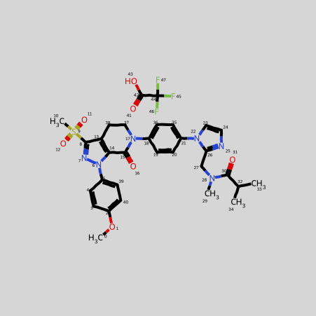 COc1ccc(-n2nc(S(C)(=O)=O)c3c2C(=O)N(c2ccc(-n4ccnc4CN(C)C(=O)C(C)C)cc2)CC3)cc1.O=C(O)C(F)(F)F